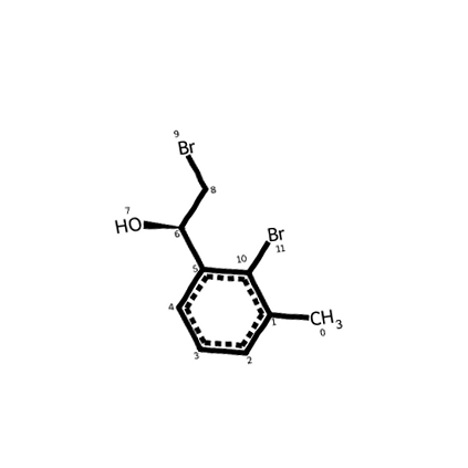 Cc1cccc([C@@H](O)CBr)c1Br